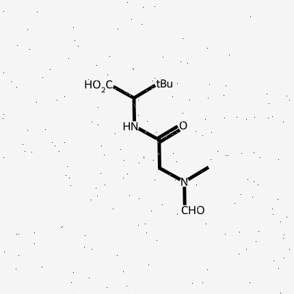 CN(C=O)CC(=O)NC(C(=O)O)C(C)(C)C